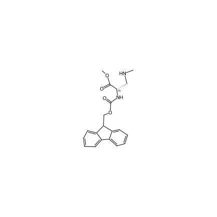 CNC[C@H](NC(=O)OCC1c2ccccc2-c2ccccc21)C(=O)OC